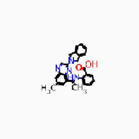 Cc1cc(C(C)Nc2ccccc2C(=O)O)c2nc(N3Cc4ccccc4C3)cnc2c1